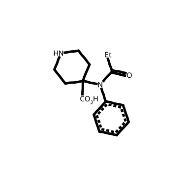 CCC(=O)N(c1ccccc1)C1(C(=O)O)CCNCC1